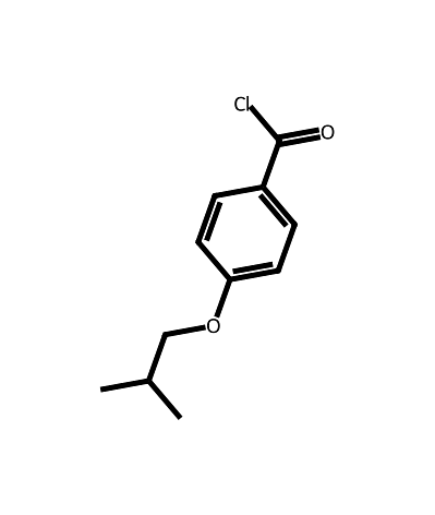 CC(C)COc1ccc(C(=O)Cl)cc1